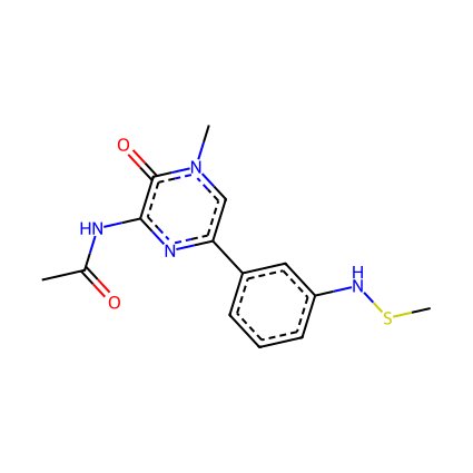 CSNc1cccc(-c2cn(C)c(=O)c(NC(C)=O)n2)c1